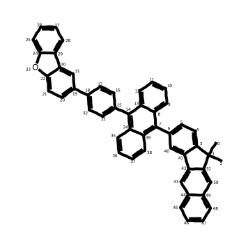 CC1(C)c2ccc(-c3c4ccccc4c(-c4ccc(-c5ccc6oc7ccccc7c6c5)cc4)c4ccccc34)cc2-c2cc3ccccc3cc21